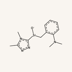 Cc1nnc([S+]([O-])Cc2ccccc2N(C)C)n1C